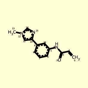 C=CC(=O)Nc1cc[c]c(-c2cn(C)cn2)c1